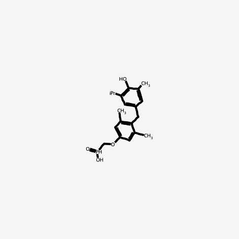 Cc1cc(Cc2c(C)cc(OC[PH](=O)O)cc2C)cc(C(C)C)c1O